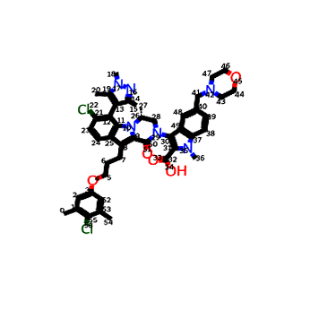 Cc1cc(OCCCc2c3n(c4c(-c5c(C)nn(C)c5C)c(Cl)ccc24)[C@H](C)CN(c2c(C(=O)O)n(C)c4ccc(CN5CCOCC5)cc24)C3=O)cc(C)c1Cl